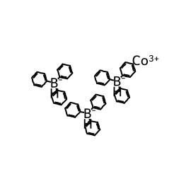 [Co+3].c1ccc([BH-](c2ccccc2)c2ccccc2)cc1.c1ccc([BH-](c2ccccc2)c2ccccc2)cc1.c1ccc([BH-](c2ccccc2)c2ccccc2)cc1